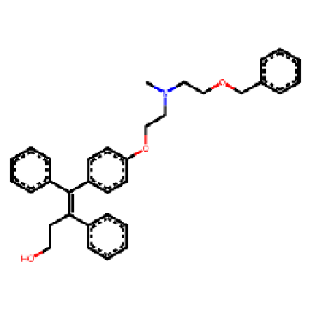 CN(CCOCc1ccccc1)CCOc1ccc(C(=C(CCO)c2ccccc2)c2ccccc2)cc1